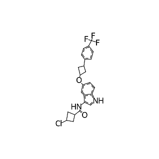 O=C(Nc1c[nH]c2ccc(OC3CC(c4ccc(C(F)(F)F)cc4)C3)cc12)C1CC(Cl)C1